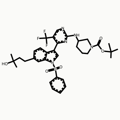 CC(C)(O)CCc1ccc2c(-c3nc(NC4CCCN(C(=O)OC(C)(C)C)C4)ncc3C(F)(F)F)cn(S(=O)(=O)c3ccccc3)c2c1